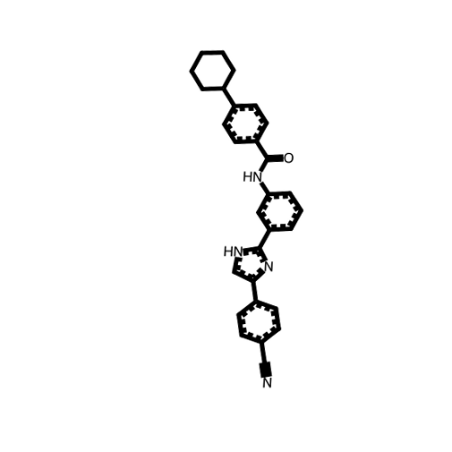 N#Cc1ccc(-c2c[nH]c(-c3cccc(NC(=O)c4ccc(C5CCCCC5)cc4)c3)n2)cc1